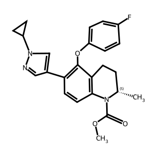 COC(=O)N1c2ccc(-c3cnn(C4CC4)c3)c(Oc3ccc(F)cc3)c2CC[C@@H]1C